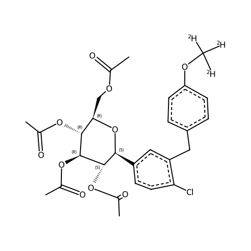 [2H]C([2H])([2H])Oc1ccc(Cc2cc([C@@H]3O[C@H](COC(C)=O)[C@@H](OC(C)=O)[C@H](OC(C)=O)[C@H]3OC(C)=O)ccc2Cl)cc1